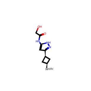 CC(=O)N[C@H]1C[C@@H](c2cc(NC(=O)CO)[nH]n2)C1